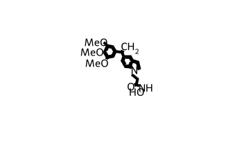 C=C(c1cc(OC)c(OC)c(OC)c1)c1ccc2c(ccn2CCC(=O)NO)c1